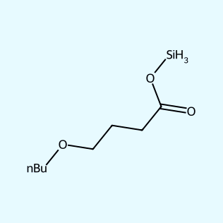 CCCCOCCCC(=O)O[SiH3]